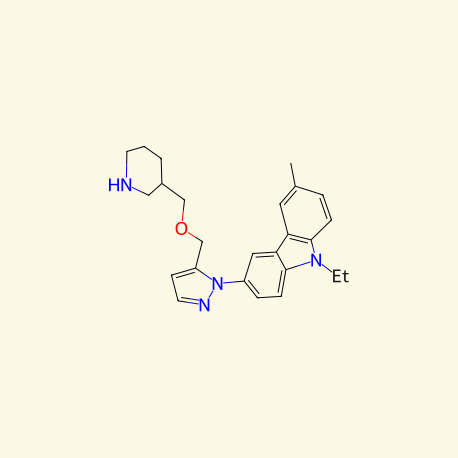 CCn1c2ccc(C)cc2c2cc(-n3nccc3COCC3CCCNC3)ccc21